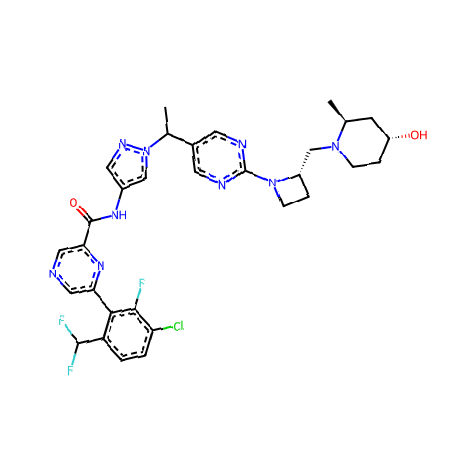 CC(c1cnc(N2CC[C@H]2CN2CC[C@@H](O)C[C@@H]2C)nc1)n1cc(NC(=O)c2cncc(-c3c(C(F)F)ccc(Cl)c3F)n2)cn1